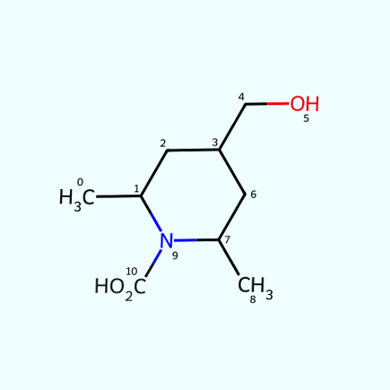 CC1CC(CO)CC(C)N1C(=O)O